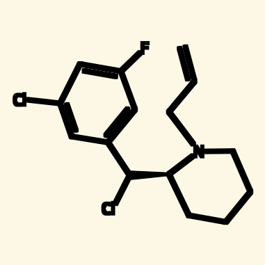 C=CCN1CCCC[C@H]1C(Cl)c1cc(F)cc(Cl)c1